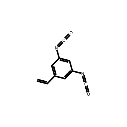 C=Cc1cc(N=C=O)cc(N=C=O)c1